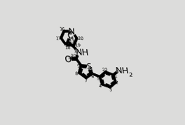 Nc1cccc(-c2ccc(C(=O)NC3CN4CCC3CC4)s2)c1